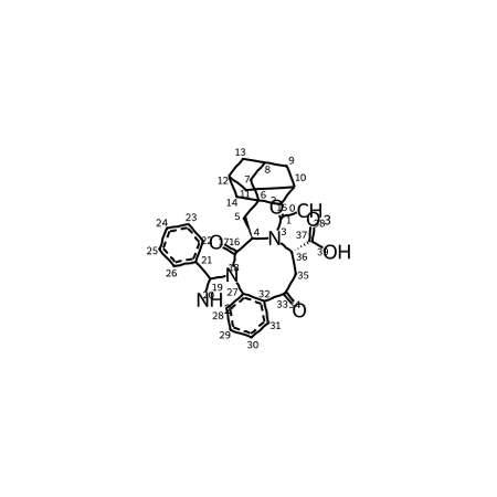 CC(=O)N1[C@H](CC23CC4CC(CC(C4)C2)C3)C(=O)N(C(N)c2ccccc2)c2ccccc2C(=O)C[C@H]1C(=O)O